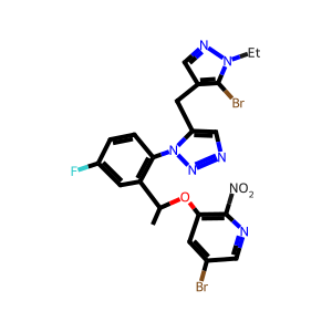 CCn1ncc(Cc2cnnn2-c2ccc(F)cc2C(C)Oc2cc(Br)cnc2[N+](=O)[O-])c1Br